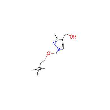 Cc1nn(COCC[Si](C)(C)C)cc1CO